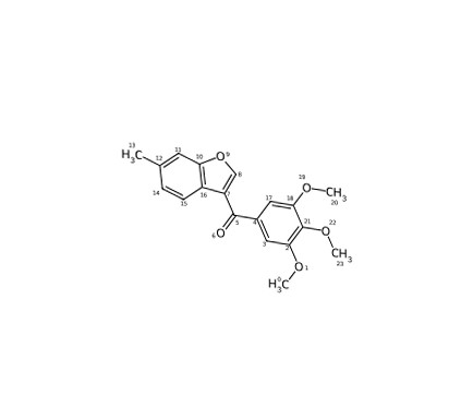 COc1cc(C(=O)c2coc3cc(C)ccc23)cc(OC)c1OC